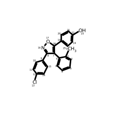 Cc1ccccc1-c1c(-c2ccc(Cl)cc2)noc1-c1ccc(O)cc1